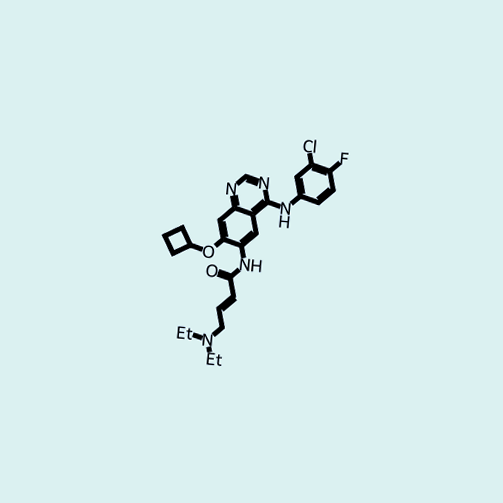 CCN(CC)CC=CC(=O)Nc1cc2c(Nc3ccc(F)c(Cl)c3)ncnc2cc1OC1CCC1